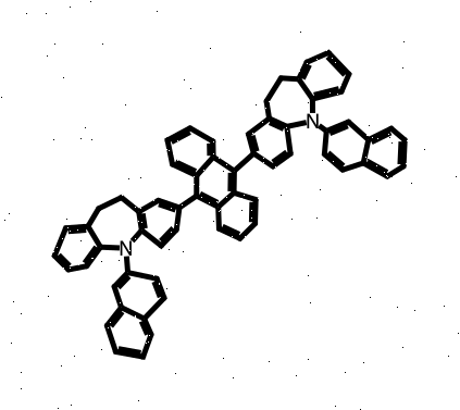 c1ccc2c(c1)CCc1cc(-c3c4ccccc4c(-c4ccc5c(c4)CCc4ccccc4N5c4ccc5ccccc5c4)c4ccccc34)ccc1N2c1ccc2ccccc2c1